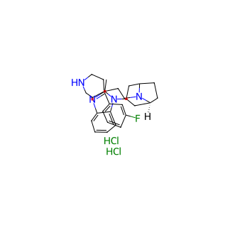 Cc1nc2ccccc2n1C1CC2CC[C@@H](C1)N2CCC1(c2cccc(F)c2)CCNCC1.Cl.Cl